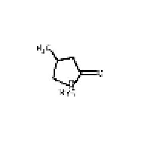 CC1CNC(=O)C1.[NaH]